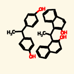 CC(c1c(O)ccc2ccccc12)c1c(O)ccc2ccccc12.CC(c1ccc(O)cc1)c1ccc(O)cc1